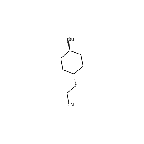 CC(C)(C)[C@H]1CC[C@H](CCC#N)CC1